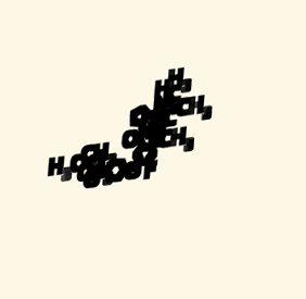 COc1cc(F)c(OC2CCC(C(=O)OC(C)(C)C)CC2)cc1C(=O)NC1CCCC1C(=O)NC(C)C(C)C